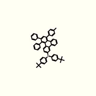 Cc1ccc(-c2cc(-c3ccccc3)c(-c3ccccc3)c3c4ccc(N(c5ccc(C(C)(C)C)cc5)c5ccc(C(C)(C)C)cc5)cc4c4ccccc4c23)cc1